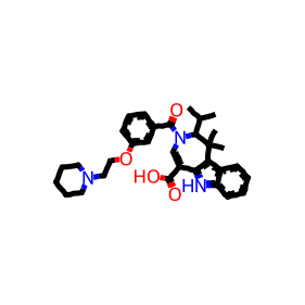 CC(C)C1N(C(=O)c2cccc(OCCN3CCCCC3)c2)C=C(C(=O)O)c2[nH]c3ccccc3c2C1(C)C